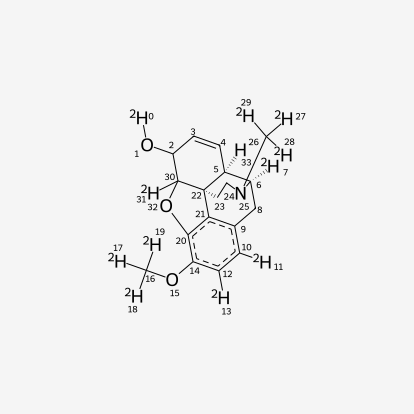 [2H]OC1C=C[C@H]2[C@@]3([2H])Cc4c([2H])c([2H])c(OC([2H])([2H])[2H])c5c4[C@@]2(CCN3C([2H])([2H])[2H])C1([2H])O5